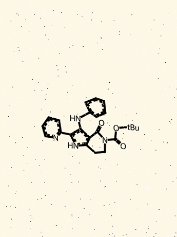 CC(C)(C)OC(=O)N1CCc2[nH]c(-c3ccccn3)c(Nc3ccccc3)c2C1=O